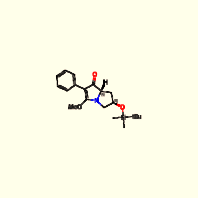 COC1=C(c2ccccc2)C(=O)[C@@H]2C[C@@H](O[Si](C)(C)C(C)(C)C)CN12